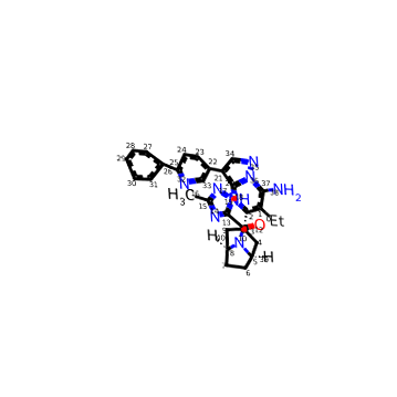 CCc1c([C@@H]2C[C@H]3CC[C@@H](C2)N3C(=O)c2nc(C)n[nH]2)nc2c(-c3ccc(-c4ccccc4)nc3)cnn2c1N